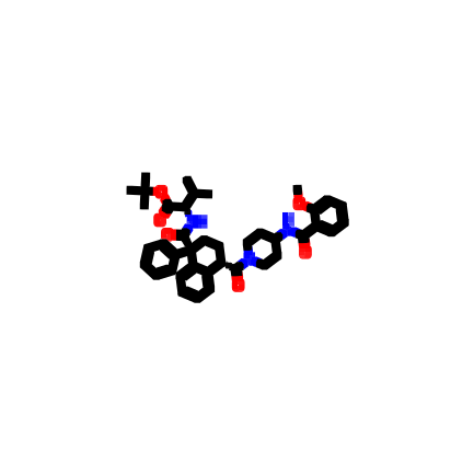 COc1ccccc1C(=O)NC1CCN(C(=O)[C@H]2CC[C@@](C(=O)N[C@H](C(=O)OC(C)(C)C)C(C)C)(c3ccccc3)c3ccccc32)CC1